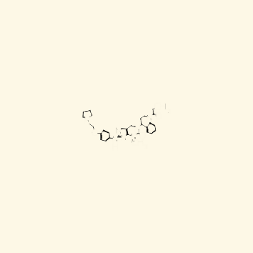 C=CC(=O)N1CCC(N2Cc3cnc(Nc4ccc(OCCN5CCCC5)cc4)nc3N(C)C2=O)c2ccccc21